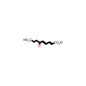 O=C(O)/C=C/C=C/C(=O)CCC(=O)O